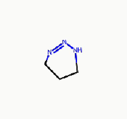 C1CN=NNC1